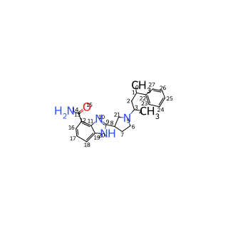 CC(CC(C)N1CCC(c2nc3c(C(N)=O)cccc3[nH]2)C1)c1ccccc1